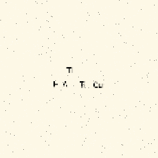 [AlH3].[Cu].[Ti].[Ti]